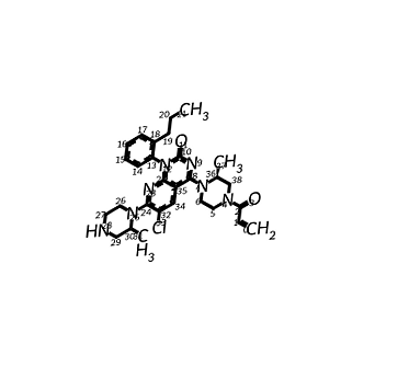 C=CC(=O)N1CCN(c2nc(=O)n(-c3ccccc3CCC)c3nc(N4CCNCC4C)c(Cl)cc23)[C@@H](C)C1